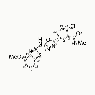 CNC(=O)c1cc(-c2nnc(Nc3nc4c(OC)cccc4s3)o2)ccc1Cl